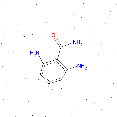 NC(=O)c1c(N)cccc1N